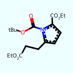 CCOC(=O)CCc1ccc(C(=O)OCC)n1C(=O)OC(C)(C)C